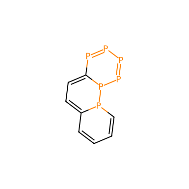 C1=CC2=CC=C3P=PP=PP3P2C=C1